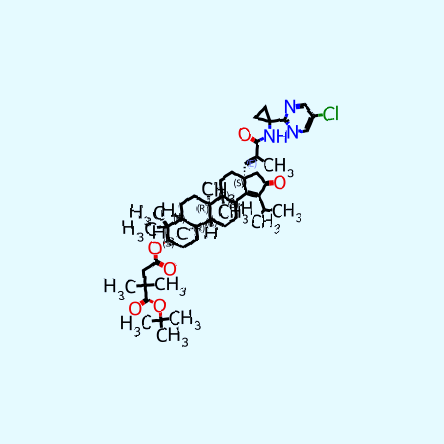 C/C(=C\[C@@]12CC[C@]3(C)[C@H](CC[C@@H]4[C@@]5(C)CC[C@H](OC(=O)CC(C)(C)C(=O)OC(C)(C)C)C(C)(C)[C@@H]5CC[C@]43C)C1=C(C(C)C)C(=O)C2)C(=O)NC1(c2ncc(Cl)cn2)CC1